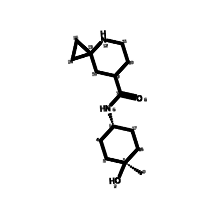 C[C@]1(O)CC[C@H](NC(=O)C2CCNC3(CC3)C2)CC1